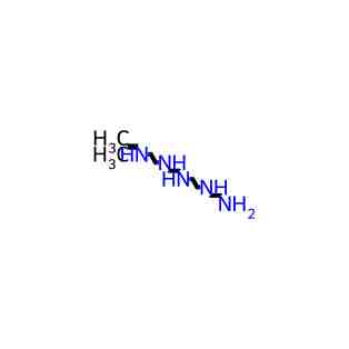 CC(C)=CNCCNCCNCCNCCN